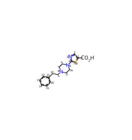 O=C(O)c1cnc(N2CCN(CCc3ccccc3)CC2)s1